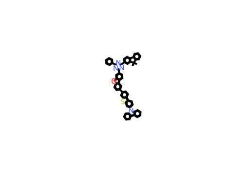 CC1(C)c2ccccc2-c2ccc(-c3nc(-c4ccccc4)nc(-c4ccc5c(c4)oc4ccc(-c6ccc7c(c6)sc6cc(-n8c9ccccc9c9ccccc98)ccc67)cc45)n3)cc21